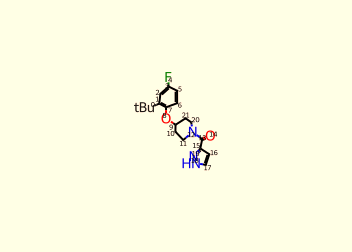 CC(C)(C)c1cc(F)ccc1OC1CCN(C(=O)c2cc[nH]n2)CC1